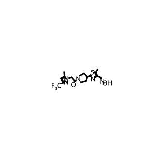 Cc1sc(C2CCN(C(=O)Cn3nc(C(F)(F)F)cc3C)CC2)nc1/C=N/O